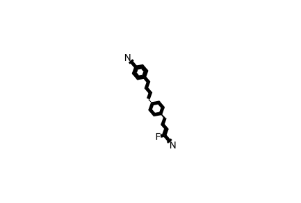 N#CC(F)=CCC[C@H]1CC[C@H](CCCCc2ccc(C#N)cc2)CC1